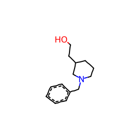 OCCC1CCCN(Cc2ccccc2)C1